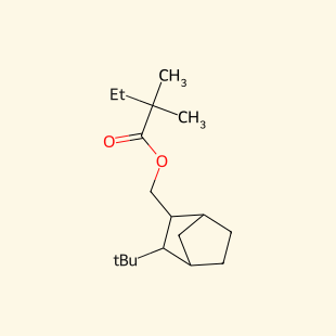 CCC(C)(C)C(=O)OCC1C2CCC(C2)C1C(C)(C)C